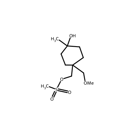 COCC1(COS(C)(=O)=O)CCC(C)(O)CC1